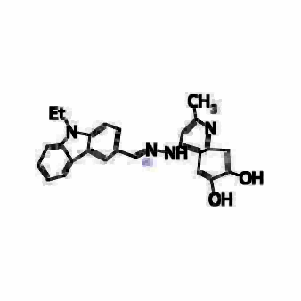 CCn1c2ccccc2c2cc(/C=N/Nc3cc(C)nc4cc(O)c(O)cc34)ccc21